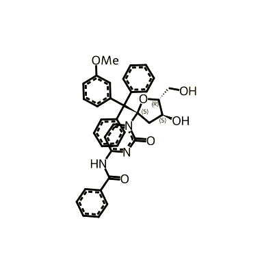 COc1cccc(C(c2ccccc2)(c2ccccc2)[C@]2(n3ccc(NC(=O)c4ccccc4)nc3=O)C[C@H](O)[C@@H](CO)O2)c1